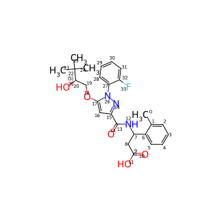 Cc1ccccc1C(CC(=O)O)NC(=O)c1cc(OC[C@@H](O)C(C)(C)C)n(-c2ccccc2F)n1